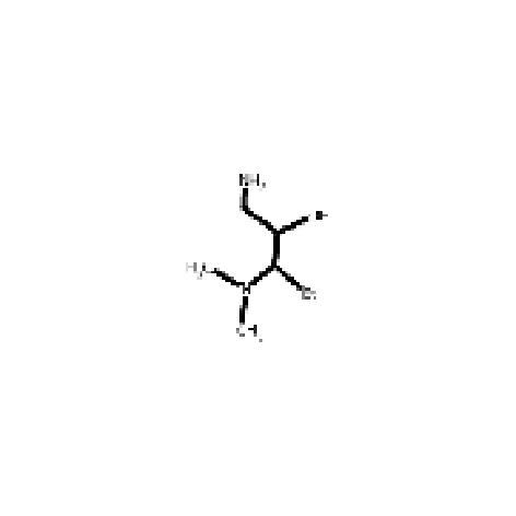 CCC(C(O)CN)N(C)C